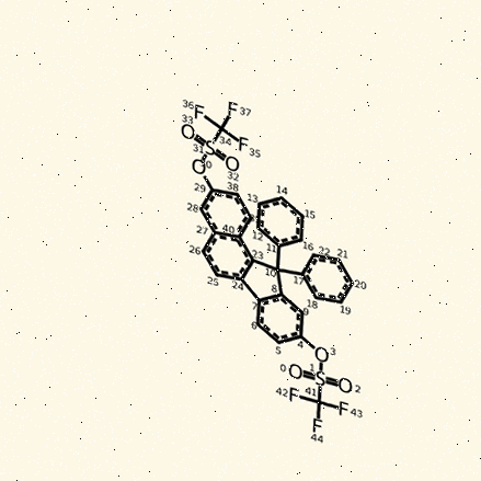 O=S(=O)(Oc1ccc2c(c1)C(c1ccccc1)(c1ccccc1)c1c-2ccc2cc(OS(=O)(=O)C(F)(F)F)ccc12)C(F)(F)F